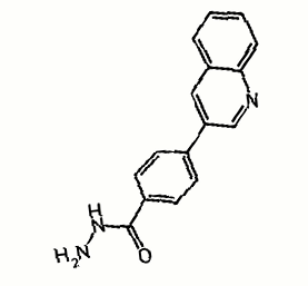 NNC(=O)c1ccc(-c2cnc3ccccc3c2)cc1